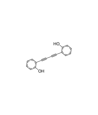 Oc1ccccc1C#CC#Cc1ccccc1O